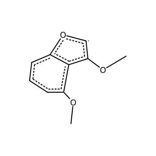 COc1[c]oc2cccc(OC)c12